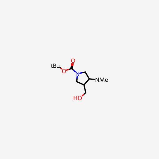 CNC1CN(C(=O)OC(C)(C)C)CC1CO